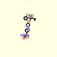 C[C@@H]1C[C@H](OCc2c(-c3ccccc3Cl)noc2C2CC2)CCN1c1ccc(-c2noc(=O)[nH]2)cn1